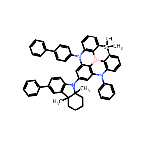 CC12CCCCC1(C)N(c1cc3c4c(c1)N(c1ccc(-c5ccccc5)cc1)c1cccc5c1B4c1c(cccc1[Si]5(C)C)N3c1ccccc1)c1ccc(-c3ccccc3)cc12